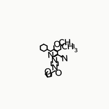 CC1(C)Cc2c(C#N)c(N3CCN(C(=O)c4ccco4)CC3)nc(C3CCCCC3)c2CO1